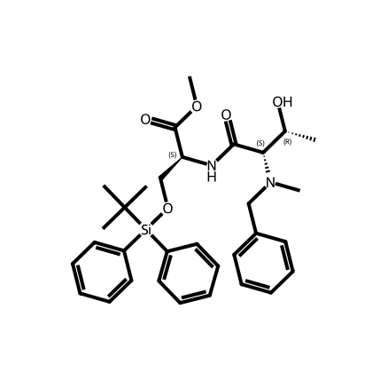 COC(=O)[C@H](CO[Si](c1ccccc1)(c1ccccc1)C(C)(C)C)NC(=O)[C@H]([C@@H](C)O)N(C)Cc1ccccc1